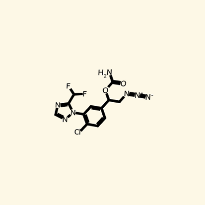 [N-]=[N+]=NCC(OC(N)=O)c1ccc(Cl)c(-n2ncnc2C(F)F)c1